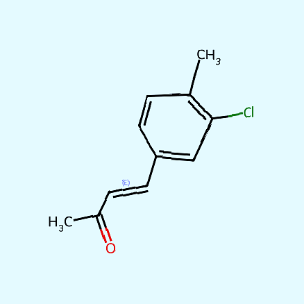 CC(=O)/C=C/c1ccc(C)c(Cl)c1